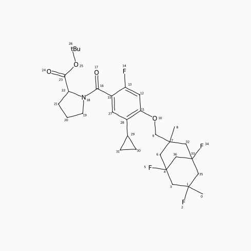 CC1(F)CC2(F)CC(C)(COc3cc(F)c(C(=O)N4CCCC4C(=O)OC(C)(C)C)cc3C3CC3)CC(F)(C1)C2